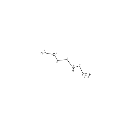 CCCOCCNCC(=O)O